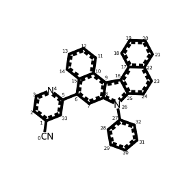 N#Cc1ccnc(-c2cc3c(c4ccccc24)c2c4ccccc4ccc2n3-c2ccccc2)c1